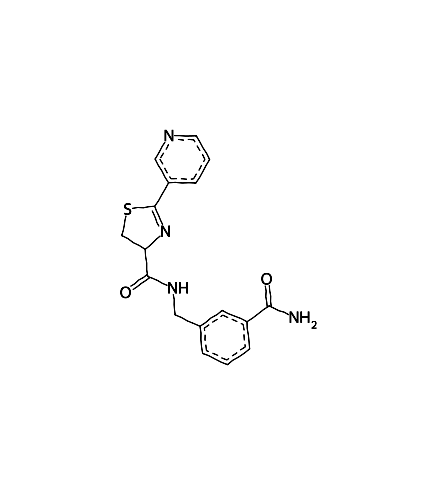 NC(=O)c1cccc(CNC(=O)C2CSC(c3cccnc3)=N2)c1